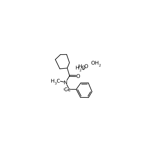 C[N]([Ge][c]1ccccc1)C(=O)C1CCCCC1.O.O.O